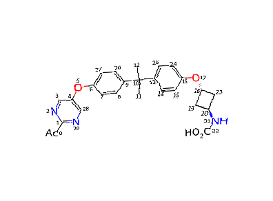 CC(=O)c1ncc(Oc2ccc(C(C)(C)c3ccc(O[C@H]4C[C@H](NC(=O)O)C4)cc3)cc2)cn1